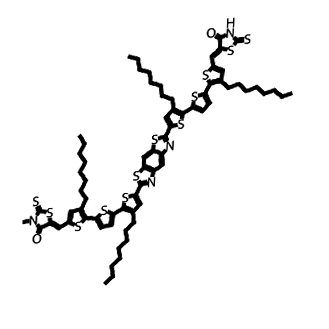 CCCCCCCCc1cc(/C=C2\SC(=S)NC2=O)sc1-c1ccc(-c2sc(-c3nc4cc5nc(-c6cc(CCCCCCCC)c(-c7ccc(-c8sc(/C=C9\SC(=S)N(C)C9=O)cc8CCCCCCCC)s7)s6)sc5cc4s3)cc2CCCCCCCC)s1